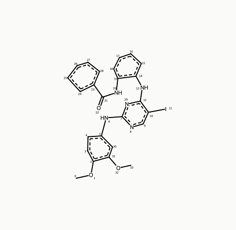 COc1ccc(Nc2ncc(I)c(Nc3ccccc3NC(=O)c3ccccc3)n2)cc1OC